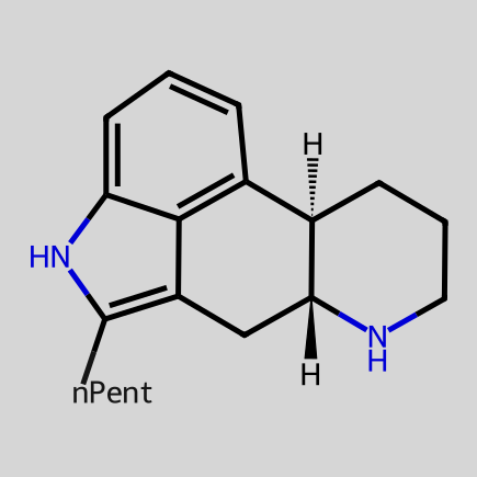 CCCCCc1[nH]c2cccc3c2c1C[C@H]1NCCC[C@H]31